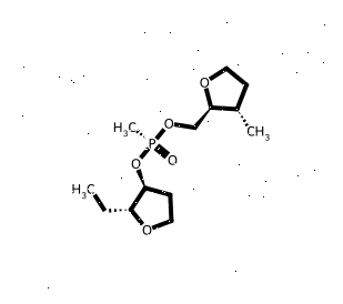 CC[C@H]1OCC[C@@H]1O[P@](C)(=O)OC[C@H]1OCC[C@@H]1C